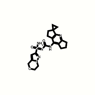 NS(=O)(=NC(=O)Nc1c2c(nc3c1CCC31CC1)CCC2)c1cc2n(n1)CCOC2